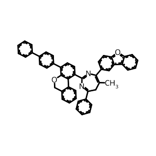 CC1=C(c2ccc3oc4ccccc4c3c2)N=C(c2ccc(-c3ccc(-c4ccccc4)cc3)c3c2-c2ccccc2CO3)N=C(c2ccccc2)C1